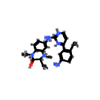 Cc1ccc(N)cc1-c1ccnc(Nc2ccc3c(c2)N(C(C)C)C(C)C(=O)N3C)n1